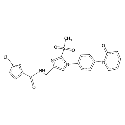 CS(=O)(=O)c1nc(CNC(=O)c2ccc(Cl)s2)cn1-c1ccc(-n2ccccc2=O)cc1